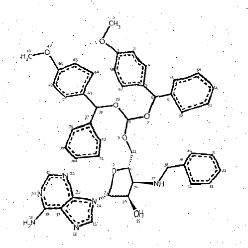 COc1ccc(C(OC(OC[C@H]2O[C@@H](n3cnc4c(N)ncnc43)[C@H](O)[C@@H]2NCc2ccccc2)OC(c2ccccc2)c2ccc(OC)cc2)c2ccccc2)cc1